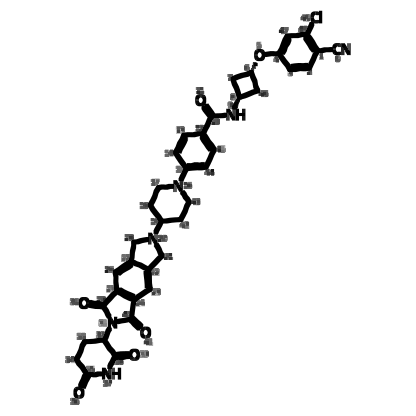 N#Cc1ccc(O[C@H]2C[C@H](NC(=O)c3ccc(N4CCC(N5Cc6cc7c(cc6C5)C(=O)N(C5CCC(=O)NC5=O)C7=O)CC4)cc3)C2)cc1Cl